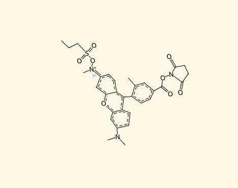 CCCS(=O)(=O)O/[N+](C)=c1\ccc2c(-c3ccc(C(=O)ON4C(=O)CCC4=O)cc3C)c3ccc(N(C)C)cc3oc-2c1